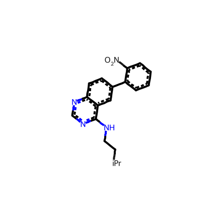 CC(C)CCNc1ncnc2ccc(-c3ccccc3[N+](=O)[O-])cc12